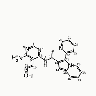 CC(Nc1ncnc(N)c1C=NO)c1cc2ccccn2c1-c1ccccn1